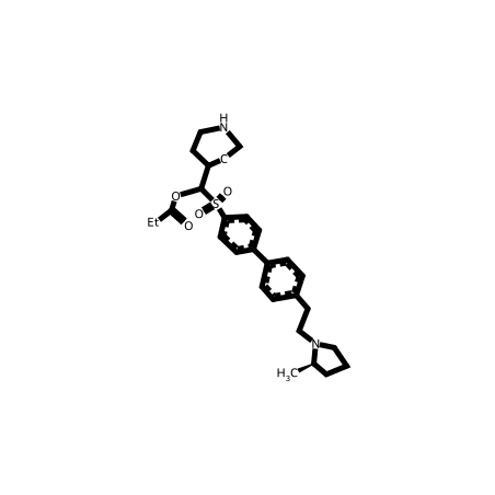 CCC(=O)OC(C1CCNCC1)S(=O)(=O)c1ccc(-c2ccc(CCN3CCC[C@H]3C)cc2)cc1